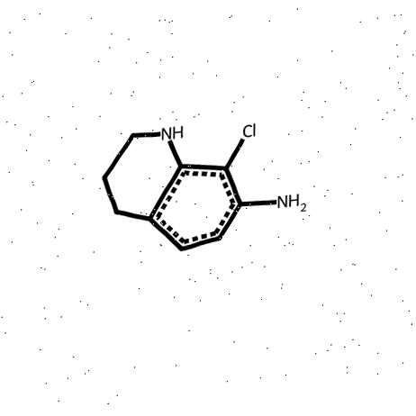 Nc1ccc2c(c1Cl)NCCC2